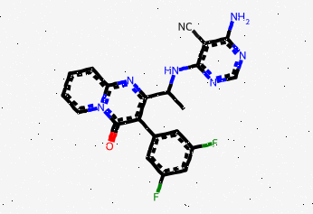 CC(Nc1ncnc(N)c1C#N)c1nc2ccccn2c(=O)c1-c1cc(F)cc(F)c1